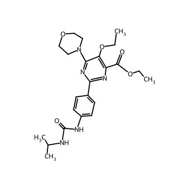 CCOC(=O)c1nc(-c2ccc(NC(=O)NC(C)C)cc2)nc(N2CCOCC2)c1OCC